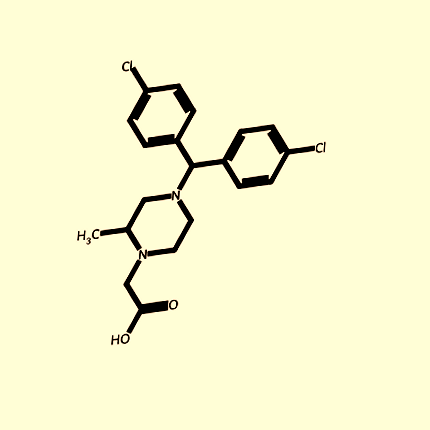 CC1CN(C(c2ccc(Cl)cc2)c2ccc(Cl)cc2)CCN1CC(=O)O